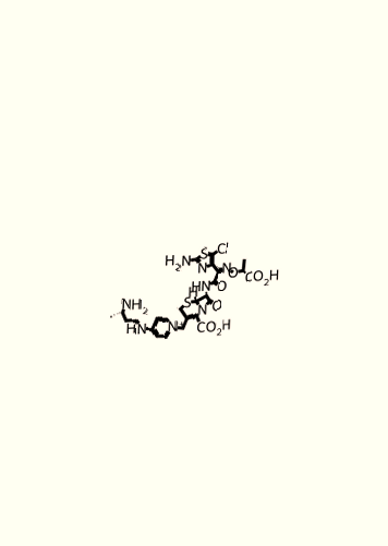 C[C@H](N)CCNc1cc[n+](CC2=C(C(=O)O)N3C(=O)[C@@H](NC(=O)/C(=N\O[C@@H](C)C(=O)O)c4nc(N)sc4Cl)[C@H]3SC2)cc1